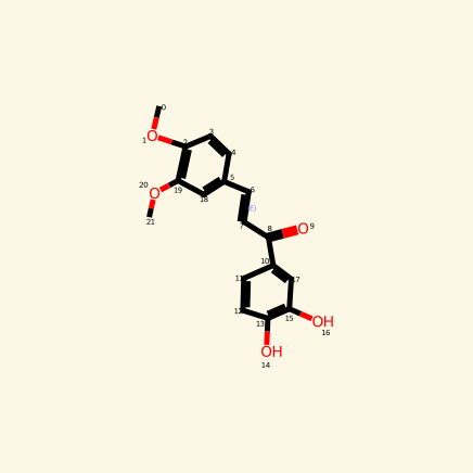 COc1ccc(/C=C/C(=O)c2ccc(O)c(O)c2)cc1OC